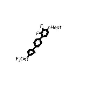 CCCCCCCc1ccc(-c2ccc(-c3ccc(OC(F)(F)F)cc3)cc2)c(F)c1F